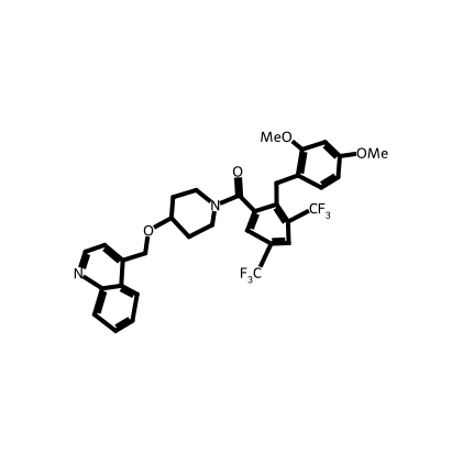 COc1ccc(Cc2c(C(=O)N3CCC(OCc4ccnc5ccccc45)CC3)cc(C(F)(F)F)cc2C(F)(F)F)c(OC)c1